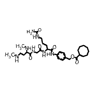 CNCCC(NC)C(=O)NCC(=O)NC(CCCNC(N)=O)C(=O)Nc1ccc(COC(=O)C2CCCCCCC2)cc1